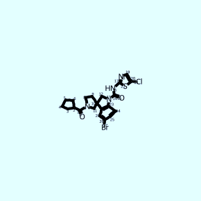 O=C(C1CCCC1)N1CCC2(C1)CN(C(=O)Nc1ncc(Cl)s1)c1ccc(Br)cc12